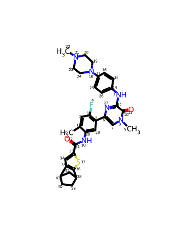 Cc1cc(F)c(-c2cn(C)c(=O)c(Nc3ccc(N4CCN(C)CC4)cc3)n2)cc1NC(=O)c1cc2c(s1)C1CCC2C1